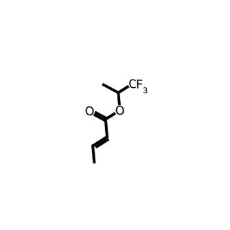 CC=CC(=O)OC(C)C(F)(F)F